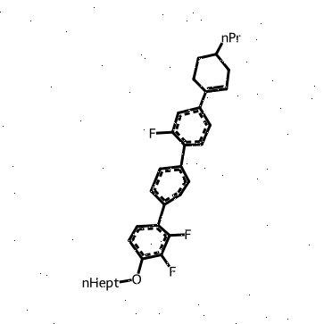 CCCCCCCOc1ccc(-c2ccc(-c3ccc(C4=CCC(CCC)CC4)cc3F)cc2)c(F)c1F